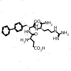 N=C(N)NCCC[C@@H](NC(=O)[C@@H](Cc1ccc(-c2ccccc2)cc1)NC(=O)[C@H](N)CCC(=O)O)C(N)=O